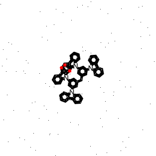 c1ccc2c(c1)c1ccccc1n2-c1cc(Cc2cc(-n3c4ccccc4c4ccccc43)cc(-n3c4ccccc4c4ccccc43)c2)cc(-n2c3ccccc3c3ccccc32)c1